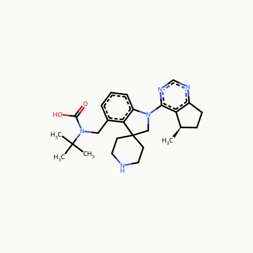 C[C@@H]1CCc2ncnc(N3CC4(CCNCC4)c4c(CN(C(=O)O)C(C)(C)C)cccc43)c21